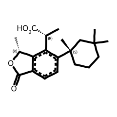 C[C@H]1OC(=O)c2ccc([C@@]3(C)CCCC(C)(C)C3)c([C@@H](C)C(=O)O)c21